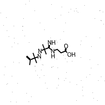 C=C(C)C(C)(C)N=NC(C)(C)C(=N)NCCC(=O)O